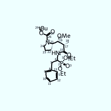 CCOP(=O)(OCC)C(Cc1ccccc1)NC(=O)[C@@H](C)[C@@H](OC)[C@@H]1CCCN1C(=O)OC(C)(C)C